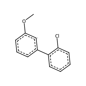 COc1[c]c(-c2ccccc2Cl)ccc1